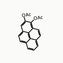 CC(=O)Oc1cc2ccc3cccc4ccc(c1OC(C)=O)c2c34